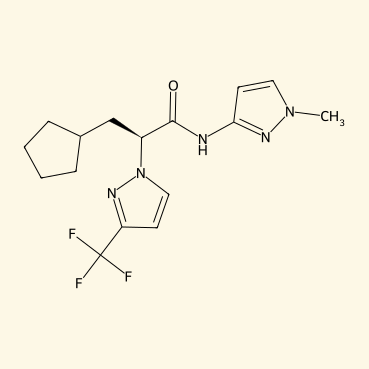 Cn1ccc(NC(=O)[C@H](CC2CCCC2)n2ccc(C(F)(F)F)n2)n1